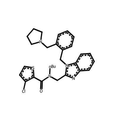 CCCCN(Cc1nc2ccccc2n1Cc1ccccc1CN1CCCC1)C(=O)c1sccc1Cl